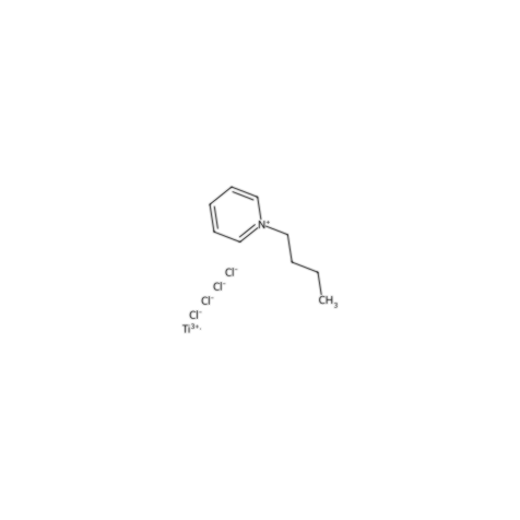 CCCC[n+]1ccccc1.[Cl-].[Cl-].[Cl-].[Cl-].[Ti+3]